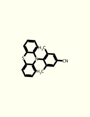 Cc1cc(C#N)cc(C)c1N1c2ccccc2Sc2ccccc21